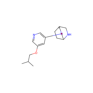 CC(C)COc1cncc(N2CC3CCC(C2)NC3)c1